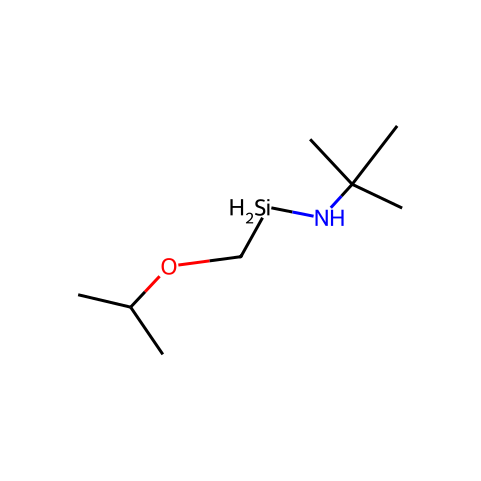 CC(C)OC[SiH2]NC(C)(C)C